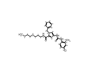 COCCOCCCNC(=O)c1nc(NC(=O)Nc2ccc(Cl)cc2C)cn1Cc1ccccc1